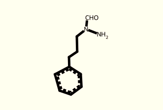 NN(C=O)CCCc1ccccc1